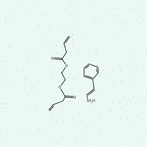 C=CCC(=O)OCCOC(=O)CC=C.O=S(=O)(O)C=Cc1ccccc1